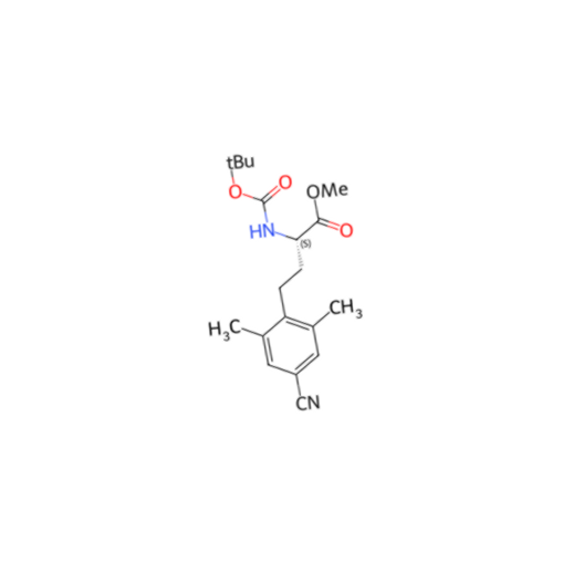 COC(=O)[C@H](CCc1c(C)cc(C#N)cc1C)NC(=O)OC(C)(C)C